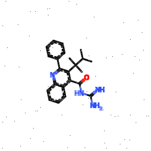 CC(C)C(C)(C)c1c(-c2ccccc2)nc2ccccc2c1C(=O)NC(=N)N